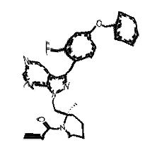 C=CC(=O)N1CCC[C@]1(C)Cn1nc(-c2ccc(Oc3ccccc3)cc2F)c2cncnc21